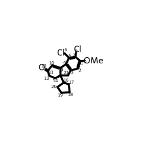 COc1cc2c(c(Cl)c1Cl)C1=CC(=O)CCC1(C1CCCC1)C2